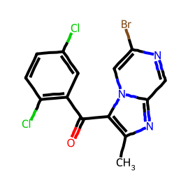 Cc1nc2cnc(Br)cn2c1C(=O)c1cc(Cl)ccc1Cl